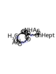 CCCCCCCC(=O)OCC/C=C/C1OC1C1OC(=O)/C=C\C=C\C(=O)N(C(C)=O)C(=O)/C=C(/C)CCC2OC2C1OC(=O)NC(C)=O